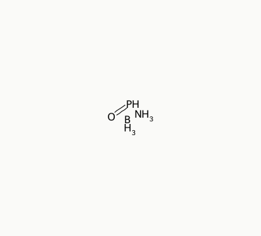 B.N.O=P